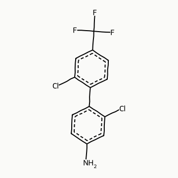 Nc1ccc(-c2ccc(C(F)(F)F)cc2Cl)c(Cl)c1